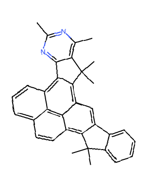 Cc1nc(C)c2c(n1)-c1c(c3cc4c(c5ccc6cccc1c6c53)C(C)(C)c1ccccc1-4)C2(C)C